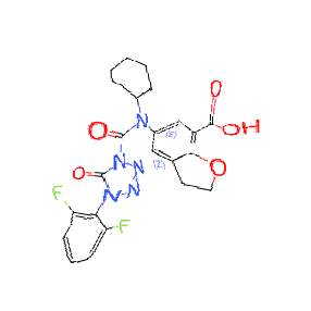 C=C(/C=C(\C=C1\CCOC1)N(C(=O)n1nnn(-c2c(F)cccc2F)c1=O)C1CCCCC1)C(=O)O